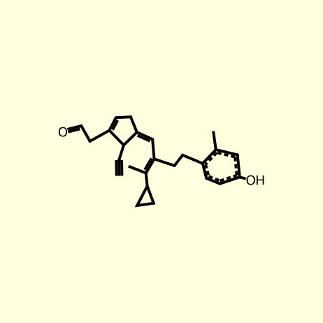 C#CC1C(CC=O)=CC/C1=C/C(CCc1ccc(O)cc1C)=C(\C)C1CC1